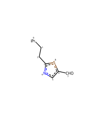 CC(C)CCc1ncc(C=O)s1